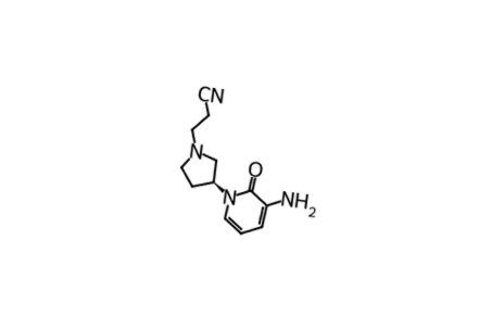 N#CCCN1CC[C@H](n2cccc(N)c2=O)C1